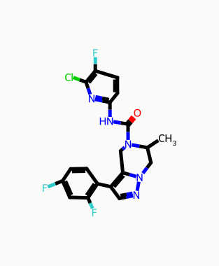 CC1Cn2ncc(-c3ccc(F)cc3F)c2CN1C(=O)Nc1ccc(F)c(Cl)n1